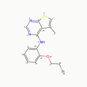 Cc1csc2ncnc(Nc3ccccc3OCCBr)c12